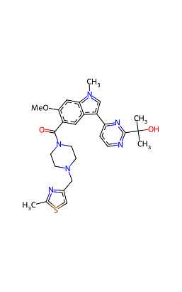 COc1cc2c(cc1C(=O)N1CCN(Cc3csc(C)n3)CC1)c(-c1ccnc(C(C)(C)O)n1)cn2C